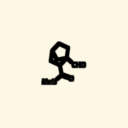 COC(=O)C1CC2CCC1(C=O)C2